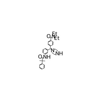 CCN(CC)C(=O)c1ccc(C(c2cccc(NC(=O)C(C)(C)c3ccccc3)c2)N2CCNCC2)cc1